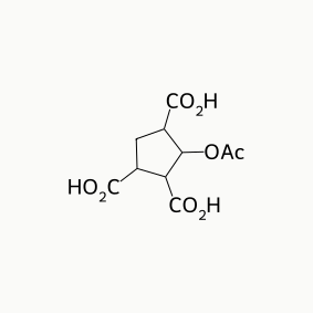 CC(=O)OC1C(C(=O)O)CC(C(=O)O)C1C(=O)O